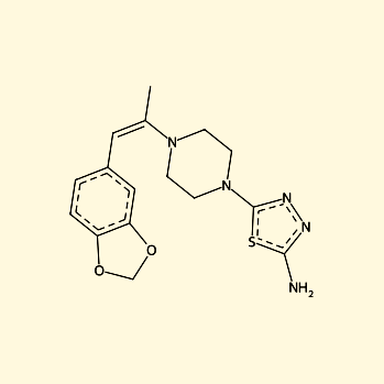 CC(=Cc1ccc2c(c1)OCO2)N1CCN(c2nnc(N)s2)CC1